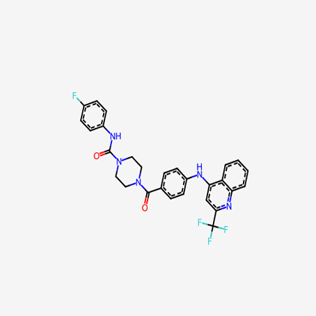 O=C(Nc1ccc(F)cc1)N1CCN(C(=O)c2ccc(Nc3cc(C(F)(F)F)nc4ccccc34)cc2)CC1